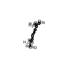 CC(CCC(=O)NC=O)N1C(=O)c2ccc(N3CCN(CC4(F)CN(c5ccc(-c6ccc7c(c6)C(C)(C)C(=O)N7c6ccc(C#N)c(Cl)c6)cc5)C4)CC3)cc2C1=O